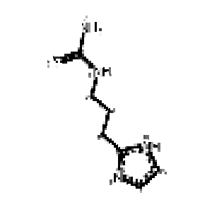 NC(=S)NCCCc1ncc[nH]1